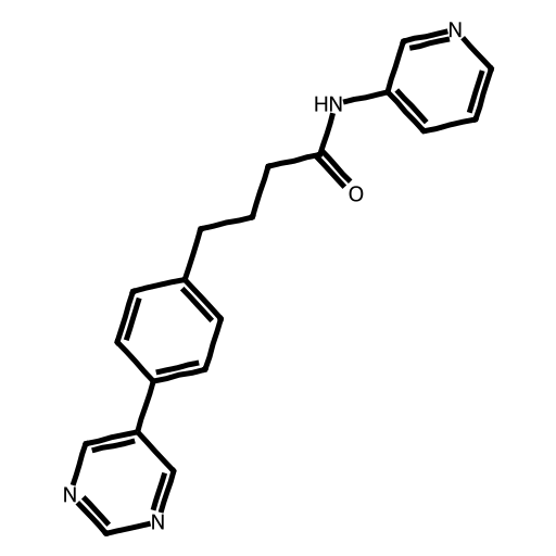 O=C(CCCc1ccc(-c2cncnc2)cc1)Nc1cccnc1